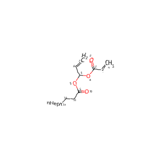 C=CC(=O)OC(C=C)OC(=O)CCCCCCCCC